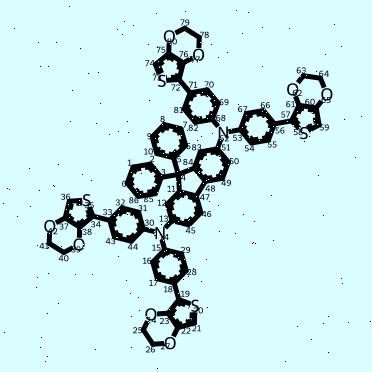 c1ccc(C2(c3ccccc3)c3cc(N(c4ccc(-c5scc6c5OCCO6)cc4)c4ccc(-c5scc6c5OCCO6)cc4)ccc3-c3ccc(N(c4ccc(-c5scc6c5OCCO6)cc4)c4ccc(-c5scc6c5OCCO6)cc4)cc32)cc1